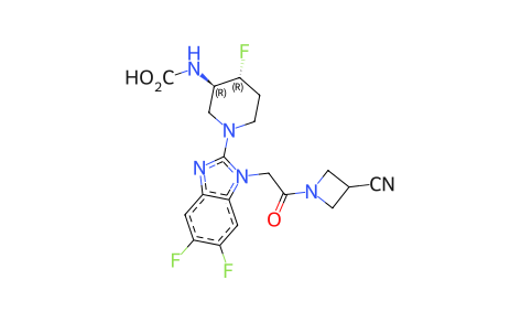 N#CC1CN(C(=O)Cn2c(N3CC[C@@H](F)[C@H](NC(=O)O)C3)nc3cc(F)c(F)cc32)C1